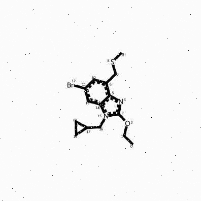 CCOc1nc2c(CSC)cc(Br)cc2n1CC1CC1